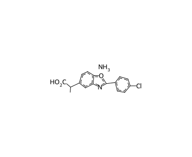 CC(C(=O)O)c1ccc2oc(-c3ccc(Cl)cc3)nc2c1.N